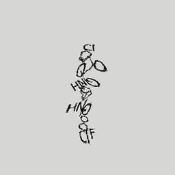 O=C(COc1ccc(Cl)c(F)c1)NC12CCC(NC(=O)C3CC(=O)c4cc(Cl)ccc4O3)(CC1)CC2